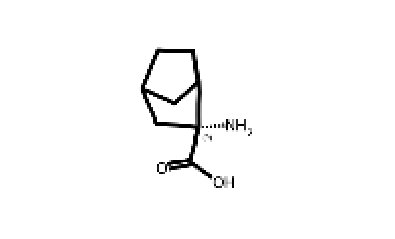 N[C@]1(C(=O)O)CC2CCC1C2